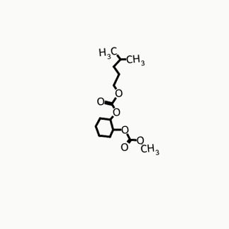 COC(=O)OC1CCCCC1OC(=O)OCCCC(C)C